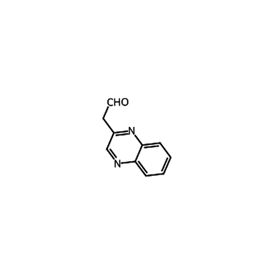 O=CCc1cnc2ccccc2n1